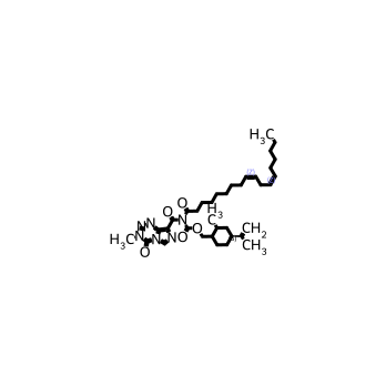 C=C(C)[C@H]1CCC(COC(=O)N(C(=O)CCCCCCC/C=C\C/C=C\CCCCC)C(=O)c2ncn3c(=O)n(C)nnc23)C(C)C1